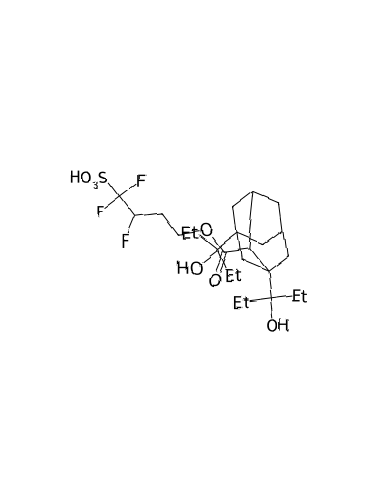 CCC(O)(CC)C12CC3CC(C1)C(C(=O)OCCC(F)C(F)(F)S(=O)(=O)O)C(C(O)(CC)CC)(C3)C2